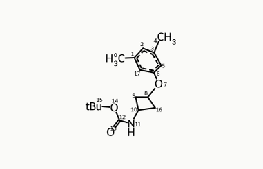 Cc1cc(C)cc(OC2CC(NC(=O)OC(C)(C)C)C2)c1